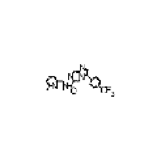 Cc1cccc(CN(C)C(=O)c2cn3c(-c4ccc(C(F)(F)F)cc4)cnc3cn2)n1